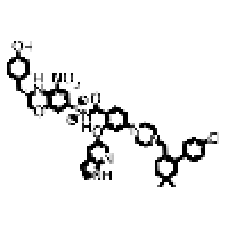 CC1(C)CCC(CN2CCN(c3ccc(C(=O)NS(=O)(=O)c4cc5c(c([N+](=O)[O-])c4)N[C@H](CC4CCC(O)CC4)CO5)c(Oc4cnc5[nH]ccc5c4)c3)CC2)=C(c2ccc(Cl)cc2)C1